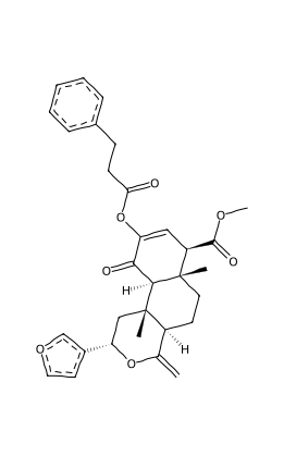 C=C1O[C@H](c2ccoc2)C[C@]2(C)[C@H]3C(=O)C(OC(=O)CCc4ccccc4)=C[C@@H](C(=O)OC)[C@]3(C)CC[C@@H]12